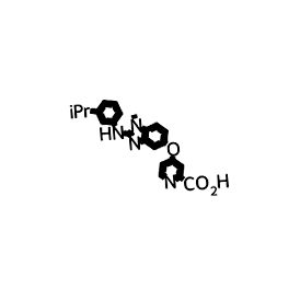 CC(C)c1cccc(Nc2nc3cc(Oc4ccnc(C(=O)O)c4)ccc3n2C)c1